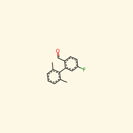 Cc1cccc(C)c1-c1cc(F)ccc1C=O